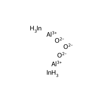 [Al+3].[Al+3].[InH3].[InH3].[O-2].[O-2].[O-2]